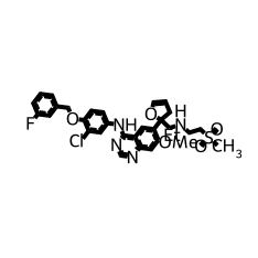 CCC(NCCS(C)(=O)=O)C1(c2cc3c(Nc4ccc(OCc5cccc(F)c5)c(Cl)c4)ncnc3cc2OC)CC=CO1